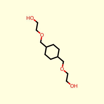 OCCOCC1CCC(COCCO)CC1